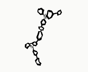 c1ccc(-c2ccc(N(c3ccccc3)c3ccc(-c4ccc(-c5ccc(-c6ccc7c(c6)c6ccccc6n7-c6ccc(-c7ccccc7)cc6)cc5)cc4)cc3)cc2)cc1